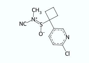 C[N+](C#N)=S([O-])C1(c2ccc(Cl)nc2)CCC1